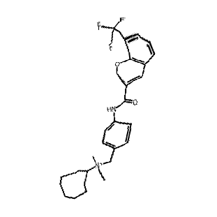 C[N+](C)(Cc1ccc(NC(=O)C2=Cc3cccc(C(F)(F)F)c3OC2)cc1)C1CCCCC1